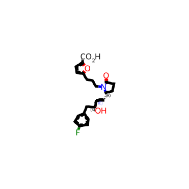 O=C(O)c1ccc(CCCN2C(=O)CC[C@@H]2/C=C/[C@@H](O)Cc2ccc(F)cc2)o1